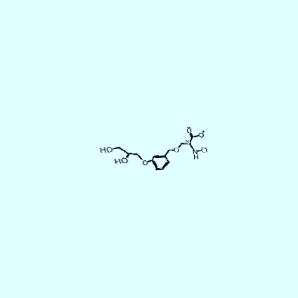 COC(=O)[C@H](COCc1cccc(OCC(O)CO)c1)NCl